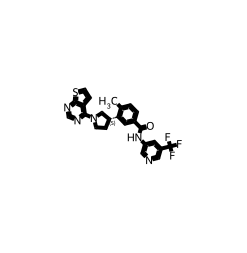 Cc1ccc(C(=O)Nc2cncc(C(F)(F)F)c2)cc1[C@@H]1CCN(c2ncnc3sccc23)C1